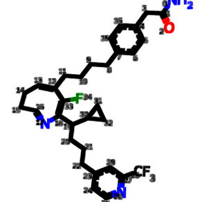 NC(=O)Cc1ccc(CCCCC2=C/CC/C=N/C(C(CCCc3ccnc(C(F)(F)F)c3)C3CC3)=C\2F)cc1